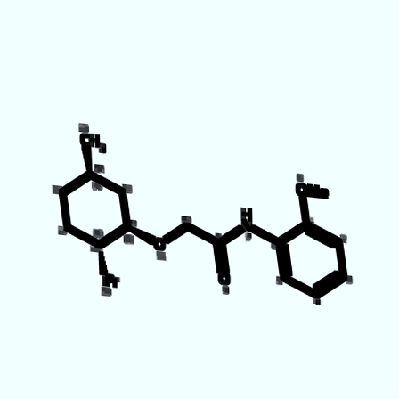 COc1ccccc1NC(=O)CO[C@@H]1C[C@H](C)CC[C@H]1C(C)C